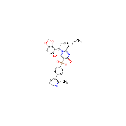 CCCCc1nc(=O)c(S(=O)(=O)c2ccc(-c3cccnc3C)cc2)c(O)n1[C@@H](CC)c1cccc2c1OCO2